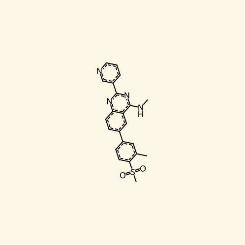 CNc1nc(-c2cccnc2)nc2ccc(-c3ccc(S(C)(=O)=O)c(C)c3)cc12